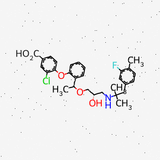 Cc1ccc(CC(C)(C)NC[C@H](O)COC(C)c2ccccc2Oc2ccc(C(=O)O)cc2Cl)cc1F